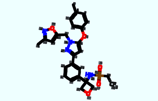 Cc1ccc(Oc2cc(-c3cccc(C4(NS(=O)(=O)CC(F)(F)F)COC4)c3)nn2Cc2cc(C)no2)cc1